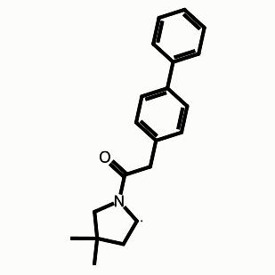 CC1(C)C[CH]N(C(=O)Cc2ccc(-c3ccccc3)cc2)C1